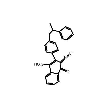 CC(Cc1ccc(C2=C(S(=O)(=O)O)c3ccccc3C(=O)C2=[N+]=[N-])cc1)c1ccccc1